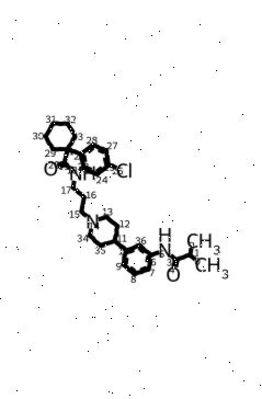 CC(C)C(=O)Nc1cccc(C2CCN(CCCNC(=O)C3(c4ccc(Cl)cc4)CCCCC3)CC2)c1